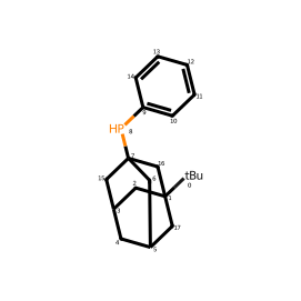 CC(C)(C)C12CC3CC(CC(Pc4ccccc4)(C3)C1)C2